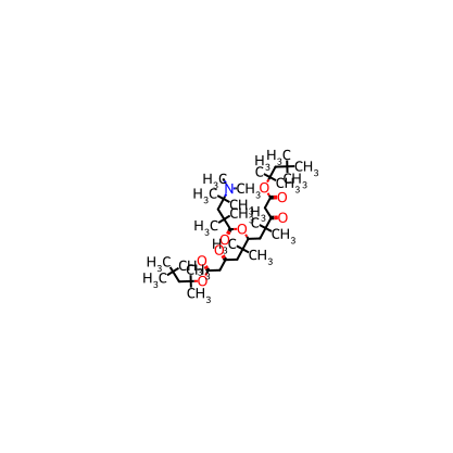 CN(C)C(C)(C)CC(C)(C)C(=O)OC(CC(C)(C)C(=O)CC(=O)OC(C)(C)CC(C)(C)C)C(C)(C)CC(=O)CC(=O)OC(C)(C)CC(C)(C)C